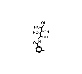 Cc1cccc(C(=O)NCC(O)C(O)C(O)C(O)CO)c1